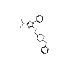 FC(F)c1nc(OCC2CCN(Cc3ccccc3)CC2)n(-c2ccccc2)n1